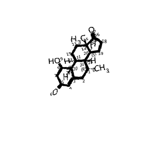 C[C@@H]1CC2=CC(=O)CC(O)[C@@H]2[C@H]2CC[C@]3(C)C(=O)CC[C@H]3[C@@H]21